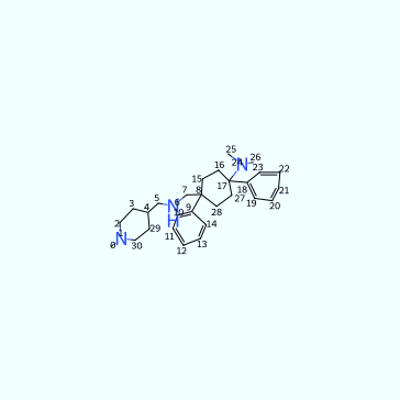 CN1CCC(CNCC2(c3ccccc3)CCC(c3ccccc3)(N(C)C)CC2)CC1